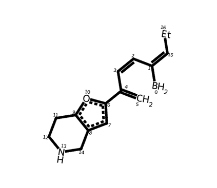 BC(/C=C\C(=C)c1cc2c(o1)CCNC2)=C/CC